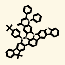 C=C1C=C(c2ccccc2)N(c2ccccc2)c2cc3c(cc21)B1c2c(ccc4c5cc6c(cc5n-3c24)oc2ccccc26)-c2cc3c(cc2N1c1ccc(C(C)(C)C)cc1)-c1ccccc1C3(C)C